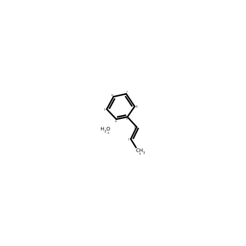 CC=Cc1ccccc1.O